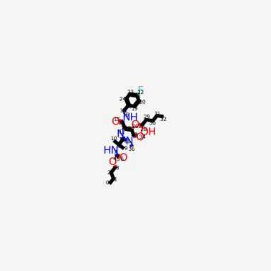 CCCCOC(=O)NC(C)(C)c1nc(C(=O)NCc2ccc(F)cc2)c(OC(O)CCCC)c(=O)n1C